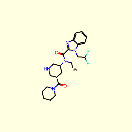 CC(C)CN(C(=O)c1nc2ccccc2n1CC(F)F)[C@@H]1CNC[C@H](C(=O)N2CCCCC2)C1